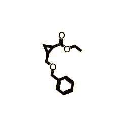 CCOC(=O)C1CC1COCc1ccccc1